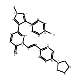 Cn1cc(-c2ccc(=N)n(/C=C/c3ccc(N4CCCC4)cn3)n2)c(-c2ccc(F)cc2)n1